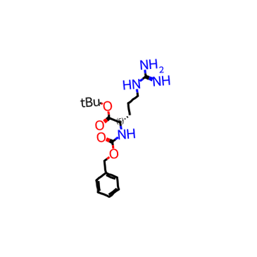 CC(C)(C)OC(=O)[C@H](CCCNC(=N)N)NC(=O)OCc1ccccc1